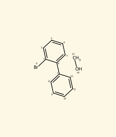 Brc1ccccc1-c1ccccc1.CO